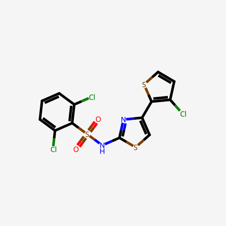 O=S(=O)(Nc1nc(-c2sccc2Cl)cs1)c1c(Cl)cccc1Cl